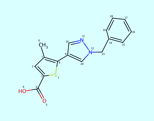 Cc1cc(C(=O)O)sc1-c1cnn(Cc2ccccc2)c1